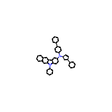 C1=CC(N(c2ccc(-c3ccccc3)cc2)c2ccc3c(c2)c2cc4ccccc4cc2n3-c2ccccc2)C=C1c1ccccc1